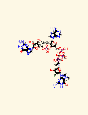 CO[C@H]1C(OP(=O)(O)OC[C@H]2O[C@@H](n3cnc4c(=O)[nH]c(N)nc43)[C@@H](O)C2O)[C@@H](COP(=O)(O)OP(=O)(O)OP(=O)(O)/C=C/[C@H]2O[C@@H](n3c[n+](C)c4c(=O)[nH]c(N)nc43)[C@@H](F)C2O)O[C@H]1n1cnc2c(N)ncnc21